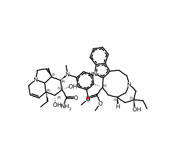 CC[C@]1(O)C[C@H]2CN(CCc3c([nH]c4ccccc34)[C@@](C(=O)OC)(c3ccc(N(C)[C@H]4[C@@](O)(C(N)=O)[C@H](O)[C@]5(CC)C=CCN6CC[C@@]4(C)C65)cc3OC)C2)C1